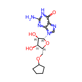 Nc1nc2c(ncn2[C@@H]2O[C@H](COC3CCCC3)[C@@H](O)[C@H]2O)c(=O)[nH]1